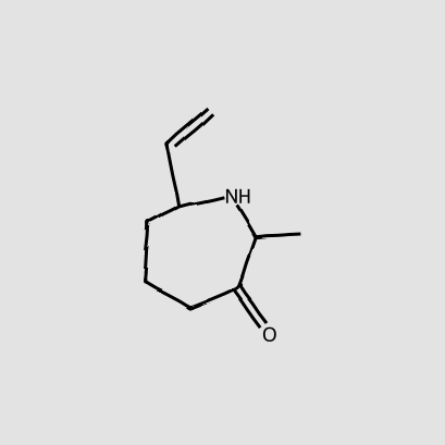 C=CC1CCCC(=O)C(C)N1